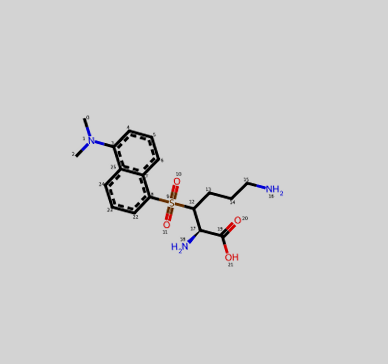 CN(C)c1cccc2c(S(=O)(=O)C(CCCN)[C@H](N)C(=O)O)cccc12